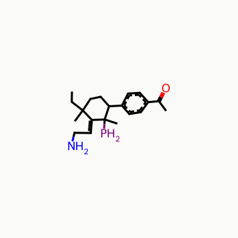 CCC1(C)CCC(c2ccc(C(C)=O)cc2)C(C)(P)/C1=C/CN